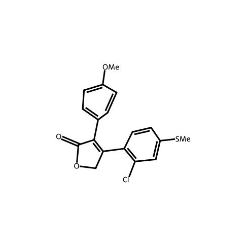 COc1ccc(C2=C(c3ccc(SC)cc3Cl)COC2=O)cc1